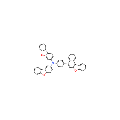 c1ccc2c(c1)oc1cc(N(c3ccc(-c4cc5oc6ccccc6c5c5ccccc45)cc3)c3ccc4oc5ccccc5c4c3)ccc12